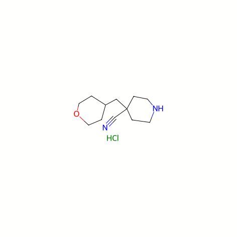 Cl.N#CC1(CC2CCOCC2)CCNCC1